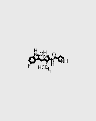 Cc1c(NC(=O)C2CCNC2)c[nH]c1C=C1C(=O)Nc2ccc(F)cc21.Cl